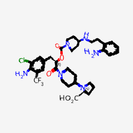 Nc1ccccc1CCNC1CCN(C(=O)O[C@H](Cc2cc(Cl)c(N)c(C(F)(F)F)c2)C(=O)N2CCC(N3CCC[C@H]3C(=O)O)CC2)CC1